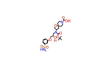 CNS(=O)(=O)c1cccc(OCC(O)CN(C(=O)OC(C)(C)C)C2COC3(CCN(C(=O)O)CC3)C2)c1